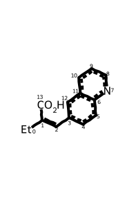 CCC(=Cc1ccc2ncccc2c1)C(=O)O